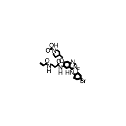 C=CC(=O)NCCC(=O)Nc1cc2c(Nc3ccc(Br)cc3F)ncnc2cc1OCC1CCN(C(=O)O)CC1